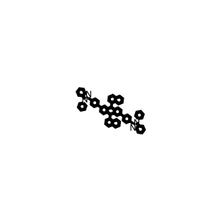 c1ccc(-n2c(-c3ccc(-c4ccc5c(-c6cccc7ccccc67)c6cc(-c7ccc(-c8nc9ccccc9n8-c8ccccc8)cc7)ccc6c(-c6cccc7ccccc67)c5c4)cc3)nc3ccccc32)cc1